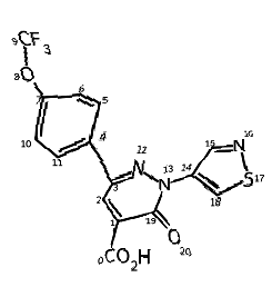 O=C(O)c1cc(-c2ccc(OC(F)(F)F)cc2)nn(-c2cnsc2)c1=O